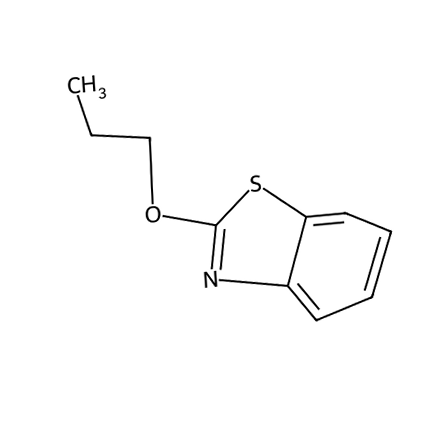 CCCOc1nc2ccccc2s1